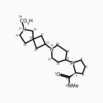 CNC(=O)[C@@H]1CCCN1C1CCN(C2CC3(CCN(C(=O)O)C3)C2)CC1